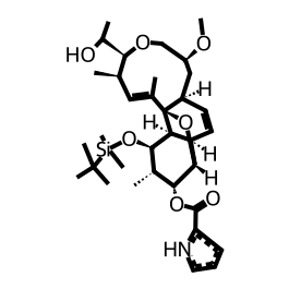 CO[C@@H]1CO[C@H](C(C)O)[C@H](C)/C=C(\C)[C@]23O[C@@H]4[C@H](C=C[C@@H]2C1)[C@H]3[C@H](O[Si](C)(C)C(C)(C)C)[C@@H](C)[C@H]4OC(=O)c1ccc[nH]1